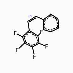 Fc1c(F)c(F)c(/C=C\c2ccccc2)c(F)c1F